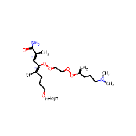 C=C(CCCN(C)C)OOCCOOC(/C=C(\C)C(N)=O)=C(/CC)CCCOCCCCCCC